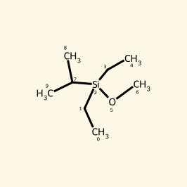 CC[Si](CC)(OC)C(C)C